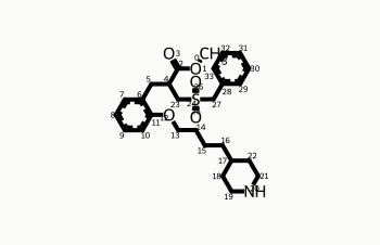 COC(=O)C(Cc1ccccc1OCCCCC1CCNCC1)CS(=O)(=O)Cc1ccccc1